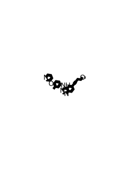 COCCC#Cc1ccc2ncnc(Nc3ccc(Oc4cccnc4)c(C)c3)c2c1